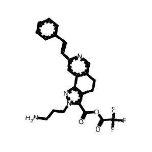 NCCCn1nc2c(c1C(=O)OC(=O)C(F)(F)F)CCc1cnc(C=Cc3ccccc3)cc1-2